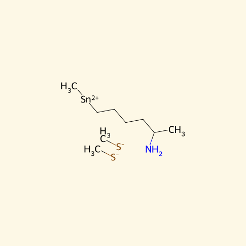 C[S-].C[S-].[CH3][Sn+2][CH2]CCCC(C)N